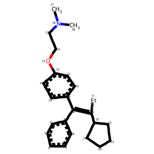 CCC(=C(c1ccccc1)c1ccc(OCCN(C)C)cc1)C1CCCC1